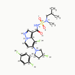 CC(C)CN(C)S(=O)(=O)NC(=O)c1cnn2ccc(N3C[C@@H](F)C[C@@H]3c3cc(F)ccc3F)c(F)c12